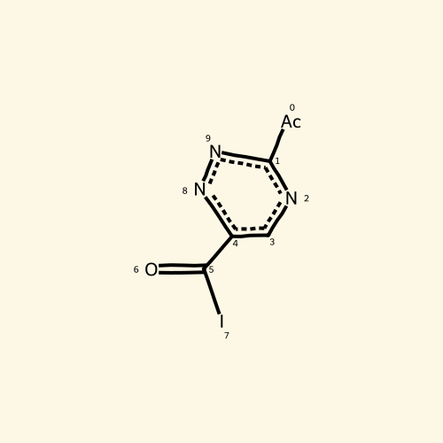 CC(=O)c1ncc(C(=O)I)nn1